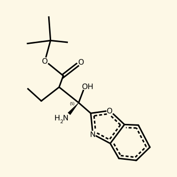 CCC(C(=O)OC(C)(C)C)[C@](N)(O)c1nc2ccccc2o1